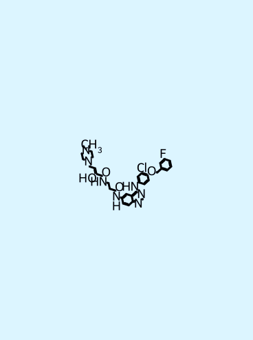 CN1CCN(CC=C(O)C(=O)NCCC(=O)Nc2ccc3ncnc(Nc4ccc(OCc5cccc(F)c5)c(Cl)c4)c3c2)CC1